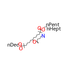 C=C(CCCN(C)C)OC(CCCCC(C)(C)C(=O)OCCCCCCCCCC)CCCCC(C)(C)C(=O)OCC(CCCCC)CCCCCCC